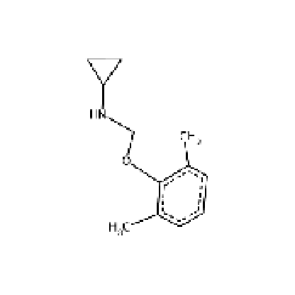 Cc1cccc(C)c1OCNC1CC1